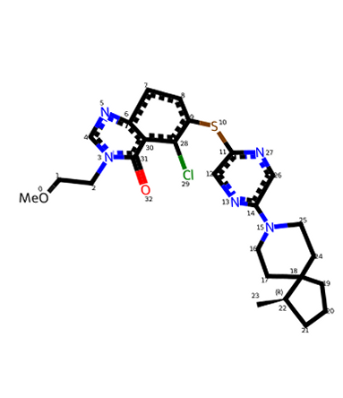 COCCn1cnc2ccc(Sc3cnc(N4CCC5(CCC[C@H]5C)CC4)cn3)c(Cl)c2c1=O